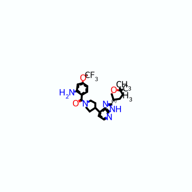 CC1(C)CC[C@H](c2nc3c(C4CCN(C(=O)c5ccc(OC(F)(F)F)cc5N)CC4)ccnc3[nH]2)CO1